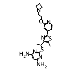 Cc1sc(-c2ccnc(OCCN3CCC3)c2)nc1C(C)Sc1nc(N)cc(N)n1